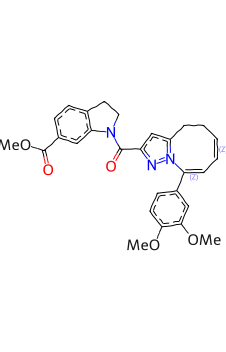 COC(=O)c1ccc2c(c1)N(C(=O)c1cc3n(n1)/C(c1ccc(OC)c(OC)c1)=C\C=C/CC3)CC2